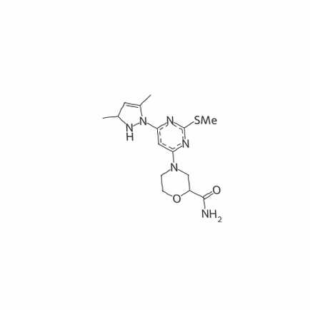 CSc1nc(N2CCOC(C(N)=O)C2)cc(N2NC(C)C=C2C)n1